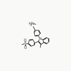 CNC.Cc1ccc(-n2c(-c3ccc(S(C)(=O)=O)cc3)c(C)c3ccccc32)cc1